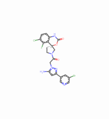 Nc1cc(-c2cncc(Br)c2)nn1CC(=O)N1CC[C@@]2(C1)OC(=O)Nc1ccc(Cl)c(F)c12